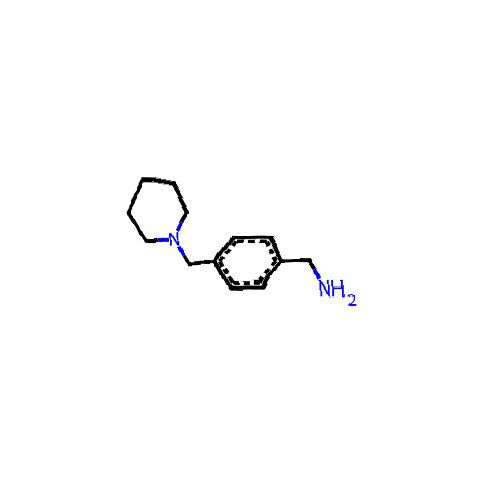 NCc1ccc(CN2CCCCC2)cc1